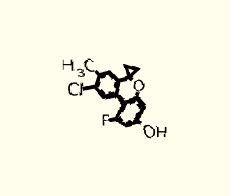 Cc1cc2c(cc1Cl)-c1c(F)cc(O)cc1OC21CC1